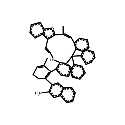 CC1=CCCC(c2cc3ccccc3cc2N)=C1c1cccc2c1N/C=C/c1c(sc3ccccc13)/C(C)=C\c1ccccc1C2(c1ccccc1)c1ccccc1